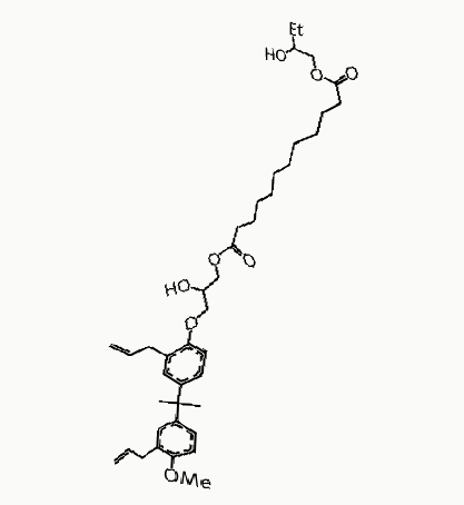 C=CCc1cc(C(C)(C)c2ccc(OCC(O)COC(=O)CCCCCCCCCCC(=O)OCC(O)CC)c(CC=C)c2)ccc1OC